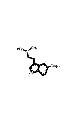 CCCN(C)CCc1c[nH]c2ccc(OC)cc12